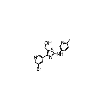 Cc1ccc(Nc2nc(-c3cncc(Br)c3)c(CO)s2)cn1